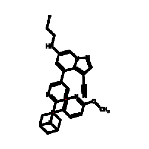 COc1ccc(CN2C3CC2CN(c2ccc(-c4cc(NCCF)cn5ncc(C#N)c45)cn2)C3)cn1